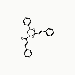 O=C(C=Cc1ccccc1)OC[C@H](OC(=O)/C=C/c1ccccc1)c1ccccc1